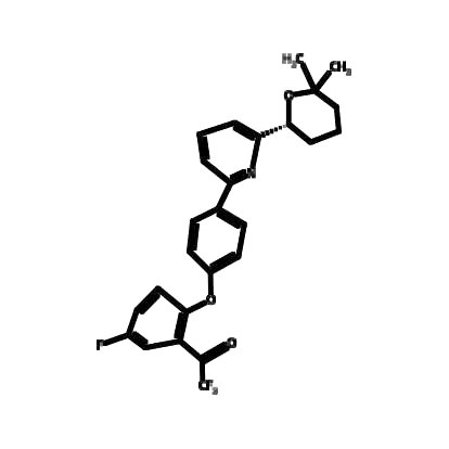 CC1(C)CCC[C@H](c2cccc(-c3ccc(Oc4ccc(F)cc4C(=O)C(F)(F)F)cc3)n2)O1